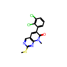 CSc1ncc2cc(-c3cccc(Cl)c3Cl)c(=O)n(C)c2n1